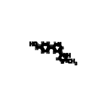 CC1NC(c2cncc(-c3ccc(CO)cc3)c2)CS1